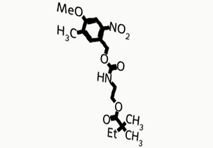 CCC(C)(C)C(=O)OCCNC(=O)OCc1cc(C)c(OC)cc1[N+](=O)[O-]